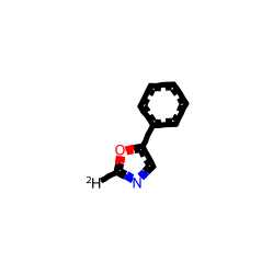 [2H]c1ncc(-c2ccccc2)o1